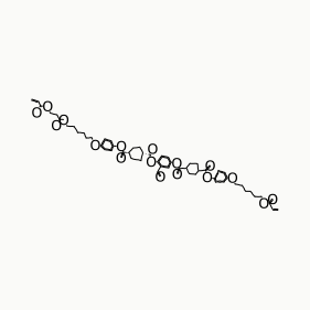 C=CC(=O)OCCCCCCOc1ccc(OC(=O)C2CCC(C(=O)Oc3ccc(OC(=O)[C@H]4CC[C@H](C(=O)Oc5ccc(OCCCCCCOC(=O)CCOC(=O)C=C)cc5)CC4)c(C=O)c3)CC2)cc1